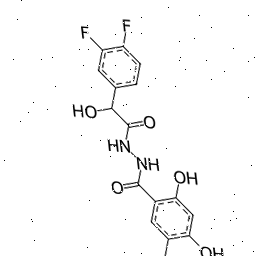 Cc1cc(C(=O)NNC(=O)C(O)c2ccc(F)c(F)c2)c(O)cc1O